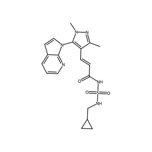 Cc1nn(C)c(-n2ccc3cccnc32)c1C=CC(=O)NS(=O)(=O)NCC1CC1